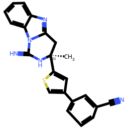 C[C@@]1(c2cc(-c3cccc(C#N)c3)cs2)Cc2nc3ccccc3n2C(=N)N1